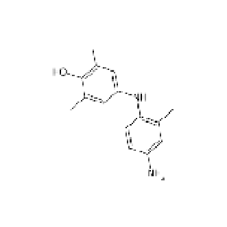 Cc1cc(N)ccc1Nc1cc(C)c(O)c(C)c1